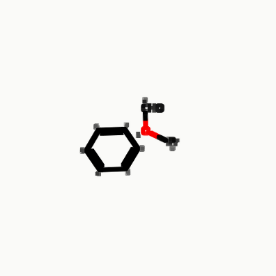 CC(C)OC=O.c1ccccc1